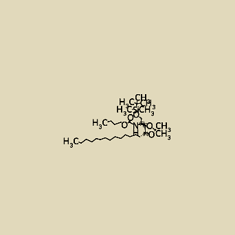 CCCCCCCCCCCCCC[C@H]1OC(C)(C)O[C@H]1[C@H](CO[Si](C)(C)C(C)(C)C)NC(=O)OCCCC